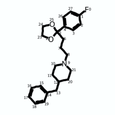 Fc1ccc(C2(CCCN3CCC(Cc4ccccc4)CC3)OCCO2)cc1